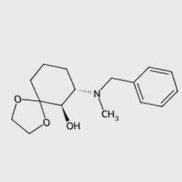 CN(Cc1ccccc1)[C@H]1CCCC2(OCCO2)[C@@H]1O